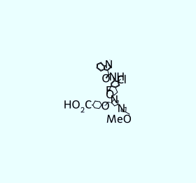 COCC1CN([C@H]2C[C@@H](CO[C@H]3CC[C@H](C(=O)O)CC3)N(C(=O)Cc3cc(Cl)c(NC(=O)c4cn(C)c5ccccc45)cc3F)C2)C1